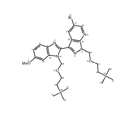 COc1ccc2nc(-c3nn(COCC[Si](C)(C)C)c4ncc(Br)cc34)n(COCC[Si](C)(C)C)c2c1